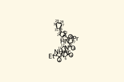 CCC(NC(C)=O)C(=O)N1CC(=O)C2C1CCN2C(=O)C(CC(C)C)NC(=O)c1ccc(-c2ccccc2)s1